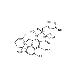 COc1cc(O)c2c(OC)c3c(c4c2c1[C@@]1(C4)C(C)=CCCC1(C)C)[C@H](O)[C@@H]1CC(O)=C(C(N)=O)C(=O)[C@]1(O)C3=O